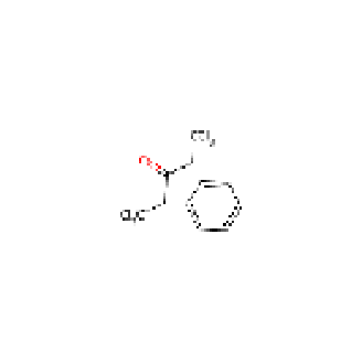 O=C(CC(Cl)(Cl)Cl)CC(Cl)(Cl)Cl.c1ccccc1